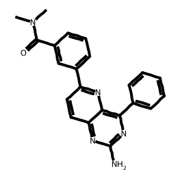 CN(C)C(=O)c1cccc(-c2ccc3nc(N)nc(-c4ccccc4)c3n2)c1